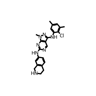 Cc1cc(C)c(Cl)c(Nc2nn(C)c3nc(Nc4ccc5c(c4)CNCC5)ncc23)c1